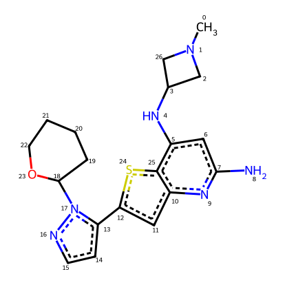 CN1CC(Nc2cc(N)nc3cc(-c4ccnn4C4CCCCO4)sc23)C1